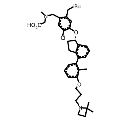 CCC(C)Cc1cc(O[C@H]2CCc3c(-c4cccc(OCCCN5CCC5(C)C)c4C)cccc32)c(Cl)cc1CN(C)CC(=O)O